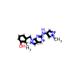 Cc1c(O)cccc1Cn1ncc2cnc(Nc3cnn(C)c3)nc21